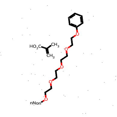 C=C(C)C(=O)O.CCCCCCCCCOCCOCCOCCOCCOc1ccccc1